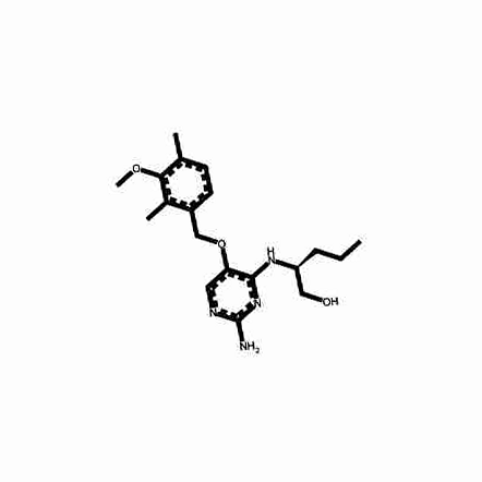 CCC[C@@H](CO)Nc1nc(N)ncc1OCc1ccc(C)c(OC)c1C